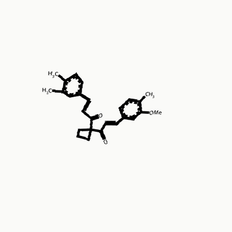 COc1cc(/C=C/C(=O)C2(C(=O)/C=C/c3ccc(C)c(C)c3)CCC2)ccc1C